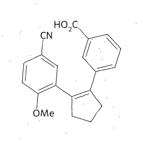 COc1ccc(C#N)cc1C1=C(c2cccc(C(=O)O)c2)CCC1